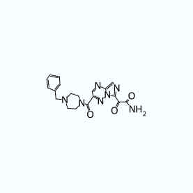 NC(=O)C(=O)c1ncc2ncc(C(=O)N3CCN(Cc4ccccc4)CC3)nn12